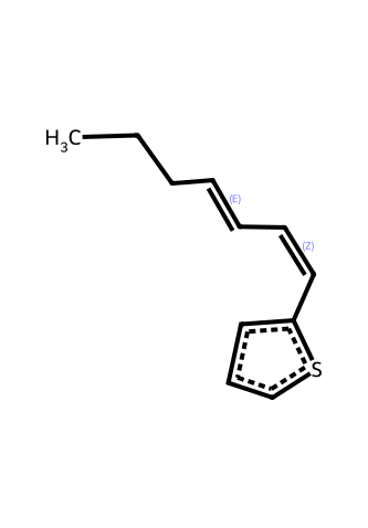 CCC/C=C/C=C\c1cccs1